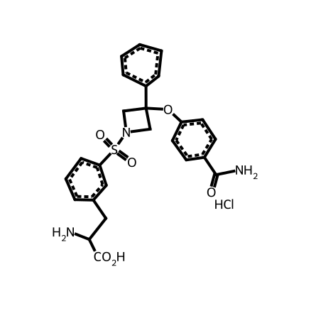 Cl.NC(=O)c1ccc(OC2(c3ccccc3)CN(S(=O)(=O)c3cccc(CC(N)C(=O)O)c3)C2)cc1